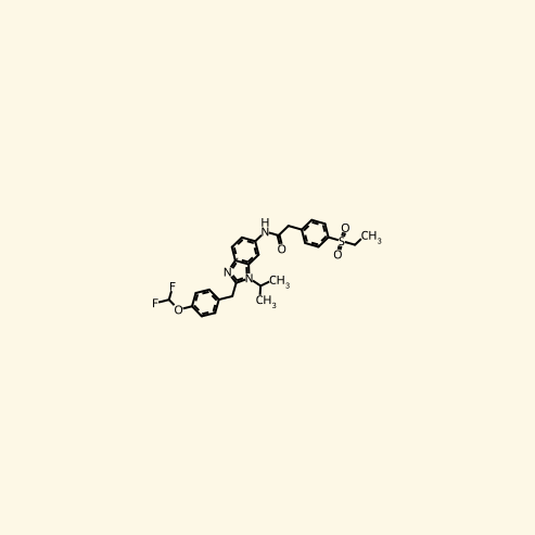 CCS(=O)(=O)c1ccc(CC(=O)Nc2ccc3nc(Cc4ccc(OC(F)F)cc4)n(C(C)C)c3c2)cc1